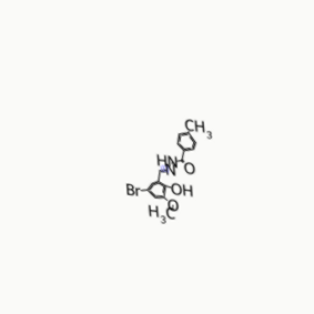 COc1cc(Br)cc(/C=N/NC(=O)c2ccc(C)cc2)c1O